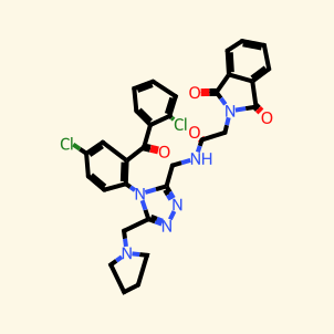 O=C(CN1C(=O)c2ccccc2C1=O)NCc1nnc(CN2CCCC2)n1-c1ccc(Cl)cc1C(=O)c1ccccc1Cl